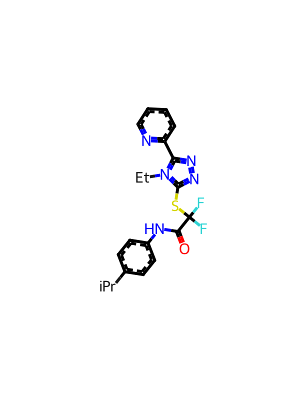 CCn1c(SC(F)(F)C(=O)Nc2ccc(C(C)C)cc2)nnc1-c1ccccn1